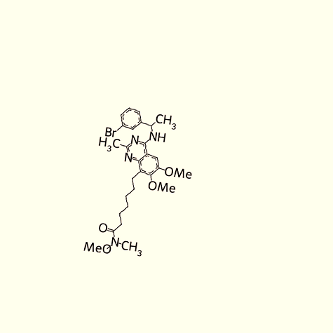 COc1cc2c(NC(C)c3cccc(Br)c3)nc(C)nc2c(CCCCCCC(=O)N(C)OC)c1OC